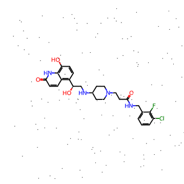 O=C(CCN1CCC(NC[C@@H](O)c2ccc(O)c3[nH]c(=O)ccc23)CC1)NCc1cccc(Cl)c1F